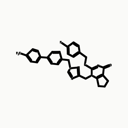 O=c1nc(SCc2ccc(F)cc2)n(Cc2ncn(Cc3ccc(-c4ccc(C(F)(F)F)cc4)cc3)n2)c2c1CCC2